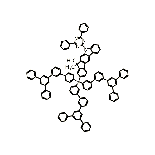 CC1(C)c2cc([Si](c3ccc(-c4cccc(-c5cc(-c6ccccc6)cc(-c6ccccc6)c5)c4)cc3)(c3cccc(-c4cccc(-c5cc(-c6ccccc6)cc(-c6ccccc6)c5)c4)c3)c3cccc(-c4cccc(-c5cc(-c6ccccc6)cc(-c6ccccc6)c5)c4)c3)ccc2-c2cc3c4ccccc4n(-c4nc(-c5ccccc5)nc(-c5ccccc5)n4)c3cc21